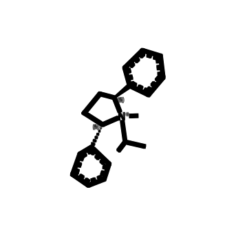 CC(C)[N+]1(C)[C@H](c2ccccc2)CC[C@H]1c1ccccc1